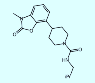 CC(C)CNC(=O)N1CCC(c2cccc3c2oc(=O)n3C)CC1